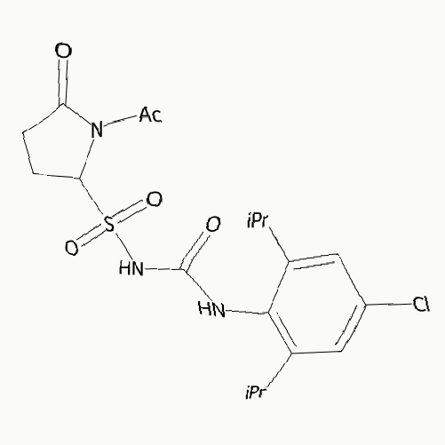 CC(=O)N1C(=O)CCC1S(=O)(=O)NC(=O)Nc1c(C(C)C)cc(Cl)cc1C(C)C